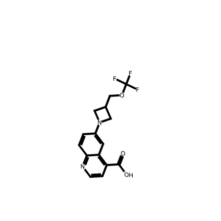 O=C(O)c1ccnc2ccc(N3CC(COC(F)(F)F)C3)cc12